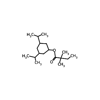 CCC(C)(C)C(=O)OC1CC(C(C)C)CC(C(C)C)C1